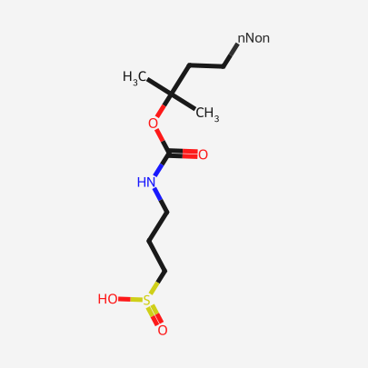 CCCCCCCCCCCC(C)(C)OC(=O)NCCCS(=O)O